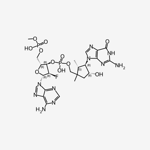 COP(=O)(O)OC[C@H]1O[C@@H](n2cnc3c(N)ncnc32)[C@H](F)[C@@H]1OP(=O)(O)OCC1(C)C[C@@H](O)[C@H](n2cnc3c(=O)[nH]c(N)nc32)[C@H]1C